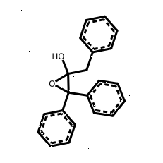 OC1(Cc2ccccc2)OC1(c1ccccc1)c1ccccc1